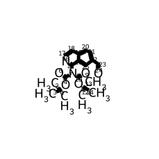 CC(C)(C)OC(=O)N(C(=O)OC(C)(C)C)c1nccc2ccc(C=O)cc12